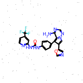 Nc1ncnn2cc(-c3cnco3)c(-c3ccc(NC(=O)Nc4cc(C(F)(F)F)ccn4)cc3)c12